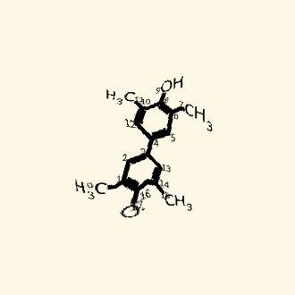 Cc1cc(-c2cc(C)c(O)c(C)c2)cc(C)c1[O]